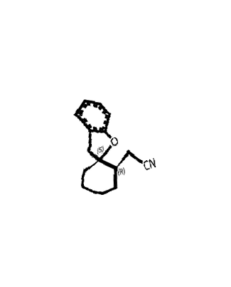 N#CC[C@H]1CCCC[C@]12Cc1ccccc1O2